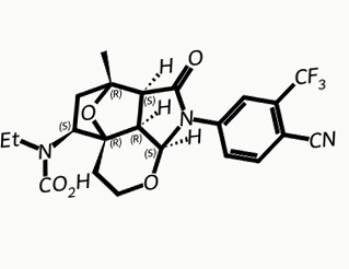 CCN(C(=O)O)[C@H]1C[C@@]2(C)O[C@@]13CCO[C@H]1[C@@H]3[C@@H]2C(=O)N1c1ccc(C#N)c(C(F)(F)F)c1